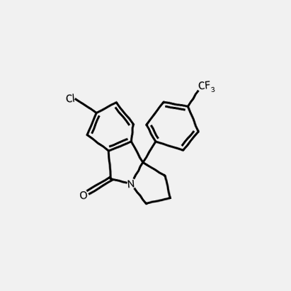 O=C1c2cc(Cl)ccc2C2(c3ccc(C(F)(F)F)cc3)CCCN12